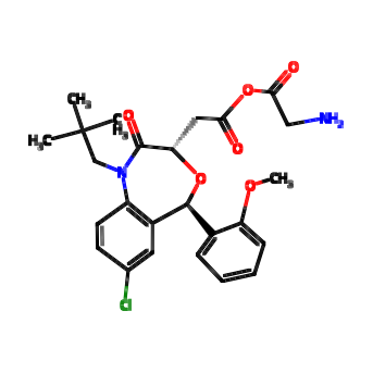 COc1ccccc1[C@@H]1O[C@@H](CC(=O)OC(=O)CN)C(=O)N(CC(C)(C)C)c2ccc(Cl)cc21